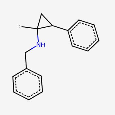 [CH]C1(NCc2ccccc2)CC1c1ccccc1